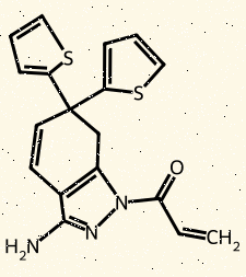 C=CC(=O)n1nc(N)c2c1CC(c1cccs1)(c1cccs1)C=C2